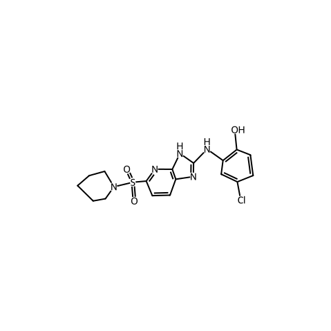 O=S(=O)(c1ccc2nc(Nc3cc(Cl)ccc3O)[nH]c2n1)N1CCCCC1